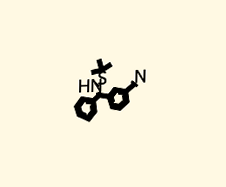 CC(C)(C)SNC(c1ccccc1)c1cccc(C#N)c1